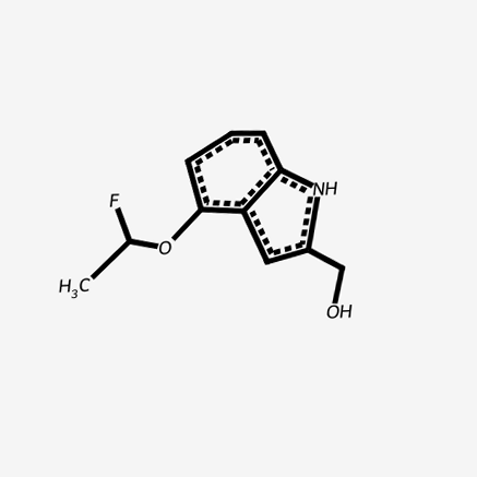 CC(F)Oc1cccc2[nH]c(CO)cc12